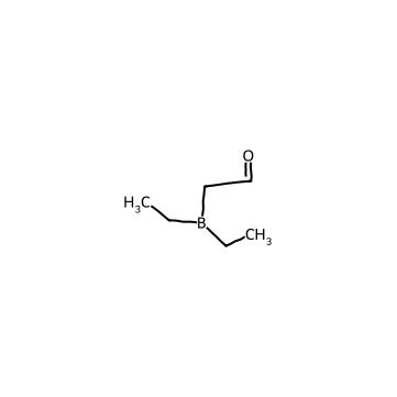 CCB(CC)CC=O